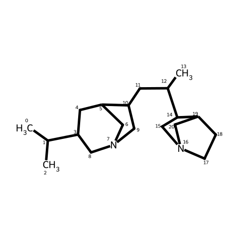 CC(C)C1CC2CN(C1)CC2CC(C)C1CN2CCC1C2